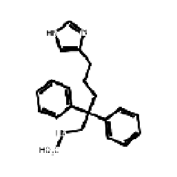 O=C(O)NCC(CCCc1c[nH]cn1)(c1ccccc1)c1ccccc1